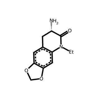 CCN1C(=O)[C@@H](N)Cc2cc3c(cc21)OCO3